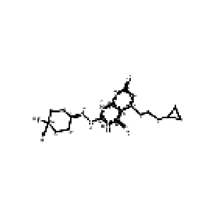 O=c1cc(CCCC2CC2)c2c(=O)[nH]c(ON=C3CCC(F)(F)CC3)nc2o1